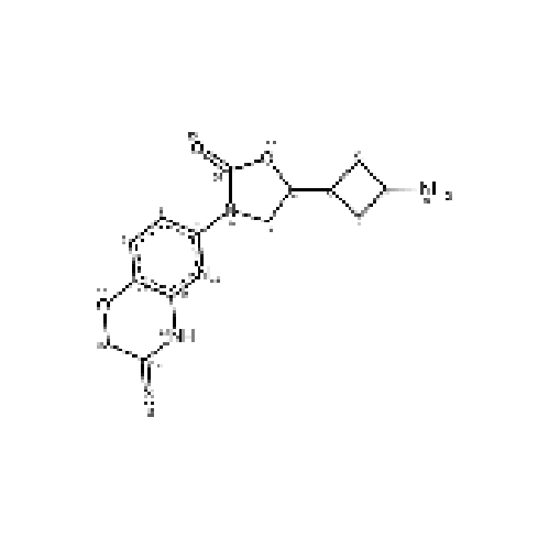 NC1CC(C2CN(c3ccc4c(n3)NC(=O)CO4)C(=O)O2)C1